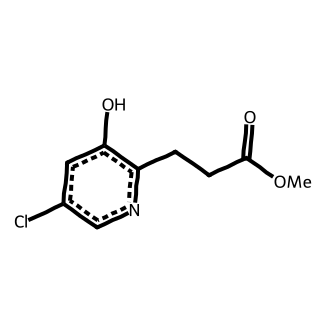 COC(=O)CCc1ncc(Cl)cc1O